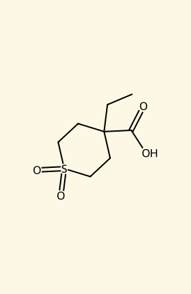 CCC1(C(=O)O)CCS(=O)(=O)CC1